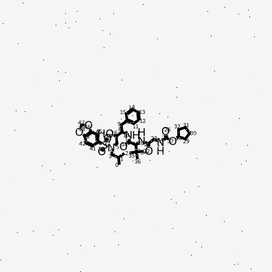 CC(C)CN(CC(O)C(Cc1ccccc1)NC(=O)C(NC(=O)CNC(=O)OC1CCCC1)C(C)(C)C)S(=O)(=O)c1ccc2c(c1)OCO2